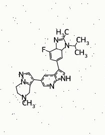 CC1=NC2C(F)=CC(c3c[nH]c4ncc(-c5cnn6c5CN(C)CC6)cc34)=CC2N1C(C)C